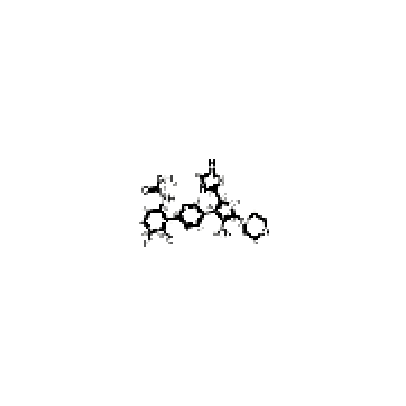 N#Cc1c(N2CCOCC2)sc(-c2nc[nH]n2)c1-c1ccc(-c2c(NC(N)=O)ccc(F)c2Cl)cc1